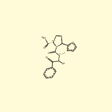 C[C@@H](C(=O)N1C(c2cccs2)SC[C@H]1C(=O)O)C(S)C(=O)c1ccccc1